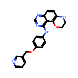 c1cncc(COc2ccc(Nc3ncnc4ccc5c(c34)OCCN5)cc2)c1